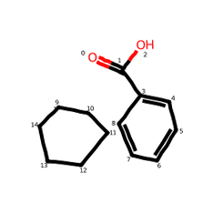 O=C(O)c1ccccc1.[CH]1CCCCC1